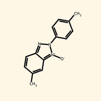 Cc1ccc(-n2nc3ccc(C)cc3[n+]2[O-])cc1